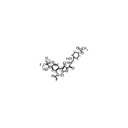 CCn1nc(C(=O)NC[C@]2(O)CC[C@@H](S(C)(=O)=O)CC2)c(Cl)c1-c1ccc(C(O)C(C)(C)C(F)(F)F)cc1OC(F)F